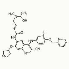 CC(O)N(C)C/C=C/C(=O)Nc1cc2c(Nc3ccc(OCc4ccccn4)c(Cl)c3)c(C#N)cnc2cc1OC1CCOC1